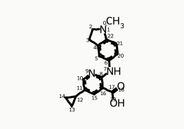 CN1CCc2cc(Nc3ncc(C4CC4)cc3C(=O)O)ccc21